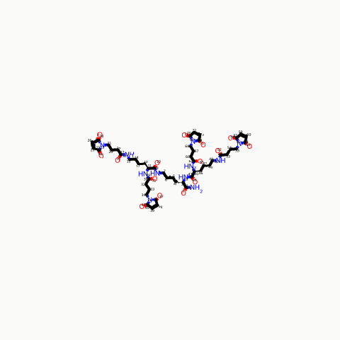 NC(=O)[C@H](CCCCNC(=O)[C@H](CCCCNC(=O)CCCN1C(=O)C=CC1=O)NC(=O)CCCN1C(=O)C=CC1=O)NC(=O)[C@H](CCCCNC(=O)CCCN1C(=O)C=CC1=O)NC(=O)CCCN1C(=O)C=CC1=O